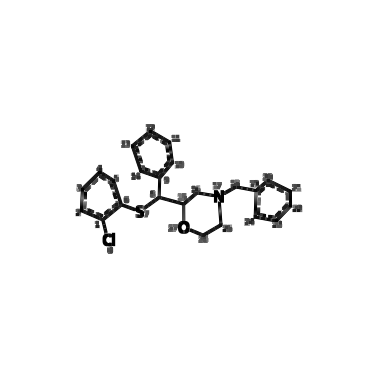 Clc1ccccc1SC(c1ccccc1)C1CN(Cc2ccccc2)CCO1